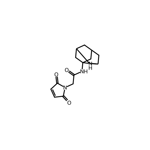 O=C(CN1C(=O)C=CC1=O)NC12CC3CC(CC(C3)N1)C2